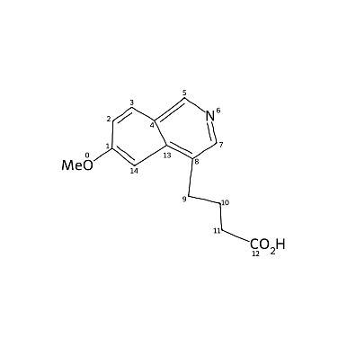 COc1ccc2cncc(CCCC(=O)O)c2c1